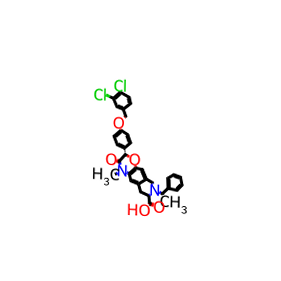 CC(c1ccccc1)N1Cc2cc3c(cc2CC1C(=O)O)N(C)C(=O)[C@H](c1ccc(OCc2ccc(Cl)c(Cl)c2)cc1)O3